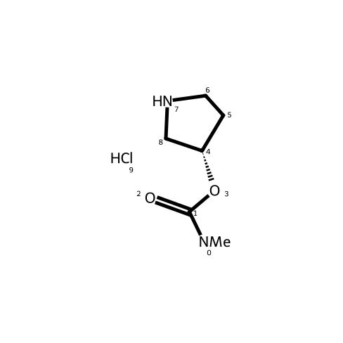 CNC(=O)O[C@H]1CCNC1.Cl